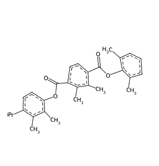 Cc1cccc(C)c1OC(=O)c1ccc(C(=O)Oc2ccc(C(C)C)c(C)c2C)c(C)c1C